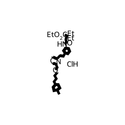 CCOC(=O)C(CC)(CC)CC(=O)Nc1cccc(/C=C/c2cccc(COCCCCc3ccc(C)cc3)n2)c1.Cl